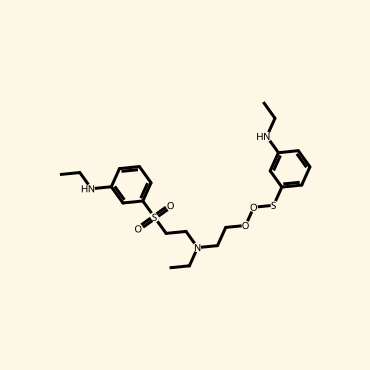 CCNc1cccc(SOOCCN(CC)CCS(=O)(=O)c2cccc(NCC)c2)c1